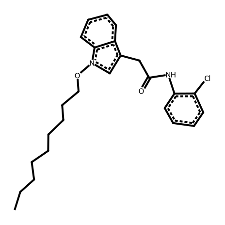 CCCCCCCCCOn1cc(CC(=O)Nc2ccccc2Cl)c2ccccc21